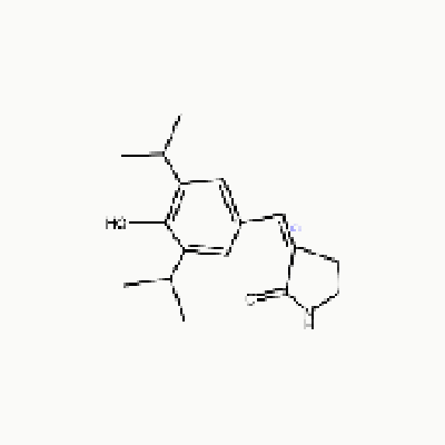 CC(C)c1cc(/C=C2/CCNC2=O)cc(C(C)C)c1O